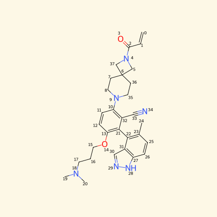 C=CC(=O)N1CC2(CCN(c3ccc(OCCCN(C)C)c(-c4c(C)ccc5[nH]ncc45)c3C#N)CC2)C1